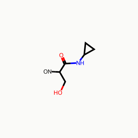 O=NC(CO)C(=O)NC1CC1